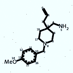 C=CCC1(CN)CCN(Cc2ccc(OC)cc2)CC1